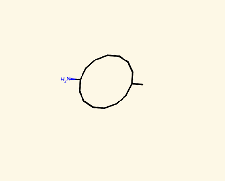 CC1CCCCCCC(N)CCCCCC1